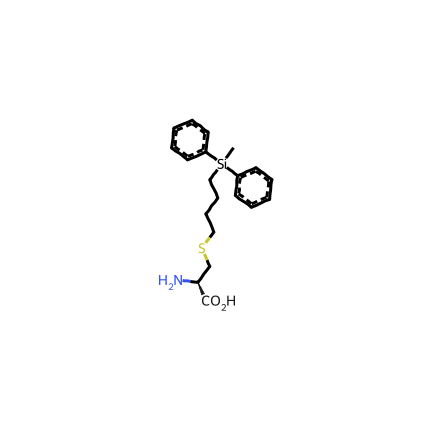 C[Si](CCCCSC[C@H](N)C(=O)O)(c1ccccc1)c1ccccc1